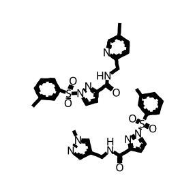 Cc1ccc(CNC(=O)c2ccn(S(=O)(=O)c3cccc(C)c3)n2)nc1.Cc1cccc(S(=O)(=O)n2ccc(C(=O)NCc3cnn(C)c3)n2)c1